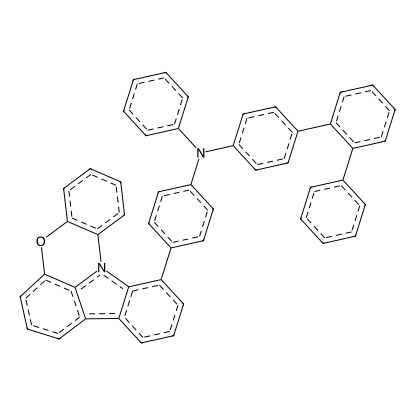 c1ccc(-c2ccccc2-c2ccc(N(c3ccccc3)c3ccc(-c4cccc5c6cccc7c6n(c45)-c4ccccc4O7)cc3)cc2)cc1